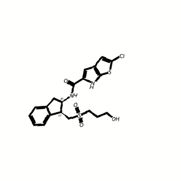 O=C(N[C@@H]1Cc2ccccc2[C@@H]1CS(=O)(=O)CCCO)c1cc2cc(Cl)sc2[nH]1